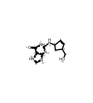 O=c1[nH]c(NC2C=CC(CO)C2)nc2nc[nH]c12